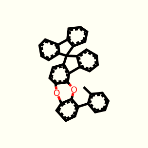 Cc1ccccc1-c1cccc2c1Oc1c(ccc3c1-c1ccccc1C31c3ccccc3-c3ccccc31)O2